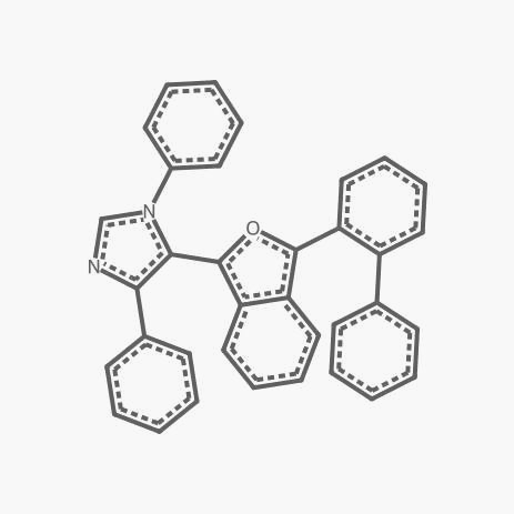 c1ccc(-c2ccccc2-c2oc(-c3c(-c4ccccc4)ncn3-c3ccccc3)c3ccccc23)cc1